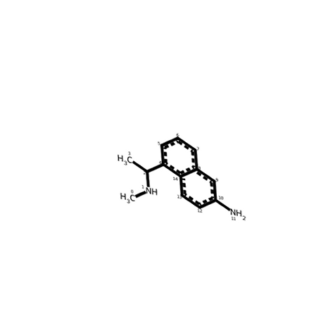 CNC(C)c1cccc2cc(N)ccc12